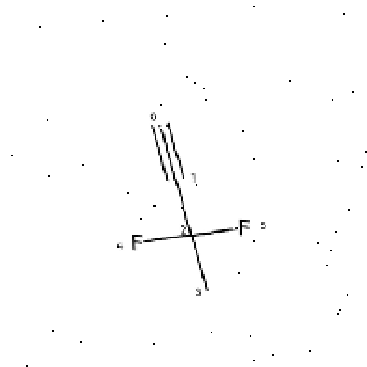 [C]#CC(C)(F)F